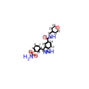 NS(=O)(=O)c1cccc(-c2n[nH]c3ccc(C(=O)NCC4CCOCC4)cc23)c1